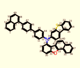 c1ccc2c(-c3ccc(-c4ccc(N(c5ccc6c(c5)sc5ccccc56)c5cccc6oc7c8ccccc8ccc7c56)cc4)cc3)cccc2c1